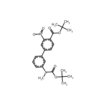 CN(C(=O)OC(C)(C)C)c1cccc(-c2ccc(C(=O)OC(C)(C)C)c([N+](=O)[O-])c2)c1